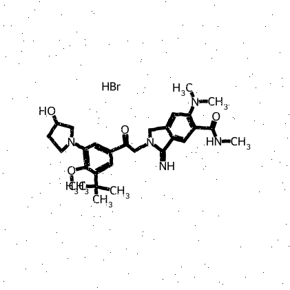 Br.CNC(=O)c1cc2c(cc1N(C)C)CN(CC(=O)c1cc(N3CCC(O)C3)c(OC)c(C(C)(C)C)c1)C2=N